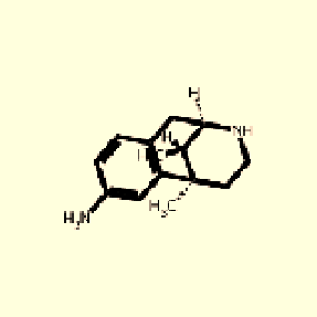 C[C@@H]1[C@H]2Cc3ccc(N)cc3[C@]1(C)CCN2